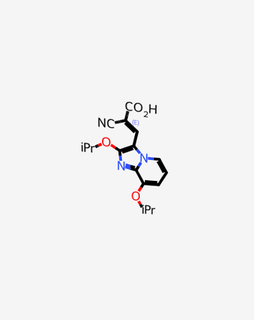 CC(C)Oc1nc2c(OC(C)C)cccn2c1/C=C(\C#N)C(=O)O